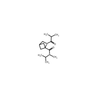 CC(C)C(=O)N1CC2CC1(C(=O)N(C)C(C)C)C2